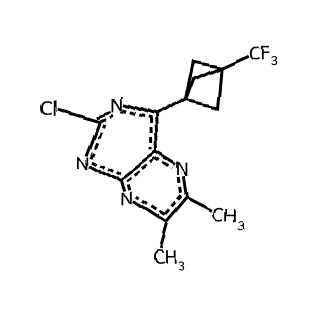 Cc1nc2nc(Cl)nc(C34CC(C(F)(F)F)(C3)C4)c2nc1C